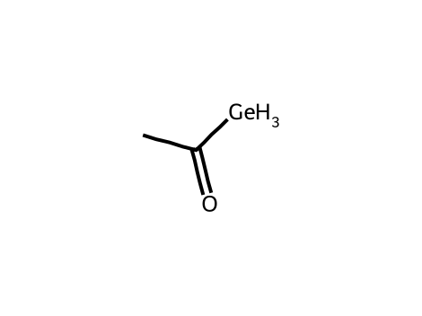 C[C](=O)[GeH3]